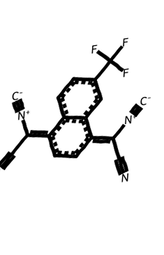 [C-]#[N+]/C(C#N)=c1/cc/c(=C(\C#N)[N+]#[C-])c2cc(C(F)(F)F)ccc12